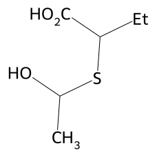 CCC(SC(C)O)C(=O)O